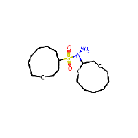 NN(C1CCCCCCCCC1)S(=O)(=O)C1CCCCCCCCC1